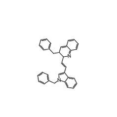 C(=CC1N=c2ccccc2=CC1Cc1ccccc1)c1cn(Cc2ccccc2)c2ccccc12